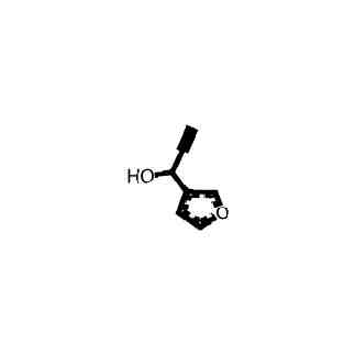 C#CC(O)c1ccoc1